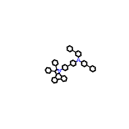 c1ccc(-c2ccc(N(c3ccc(-c4ccc(-n5c(-c6ccccc6)c(-c6ccccc6)c6c7ccccc7c7ccccc7c65)cc4)cc3)c3cccc(-c4ccccc4)c3)cc2)cc1